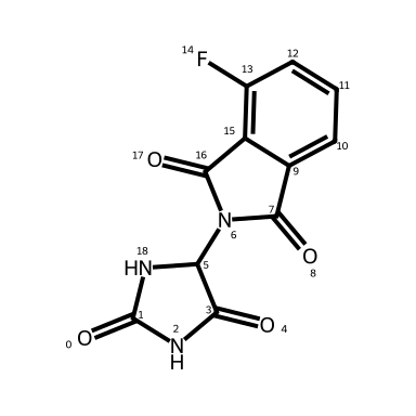 O=C1NC(=O)C(N2C(=O)c3cccc(F)c3C2=O)N1